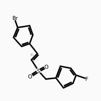 O=S(=O)(/C=C/c1ccc(Br)cc1)Cc1ccc(F)cc1